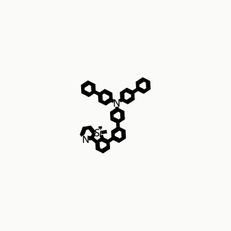 C[Si]1(C)c2cccnc2-c2cccc(-c3cccc(-c4ccc(N(c5ccc(-c6ccccc6)cc5)c5ccc(-c6ccccc6)cc5)cc4)c3)c21